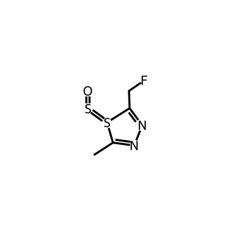 CC1=NN=C(CF)S1=S=O